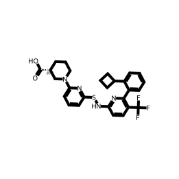 O=C(O)[C@@H]1CCCN(c2cccc(SNc3ccc(C(F)(F)F)c(-c4ccccc4C4CCC4)n3)n2)C1